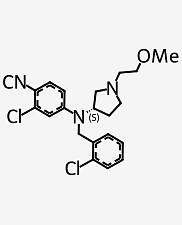 [C-]#[N+]c1ccc(N(Cc2ccccc2Cl)[C@H]2CCN(CCOC)C2)cc1Cl